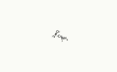 [BiH3].[Cu].[O]=[V]